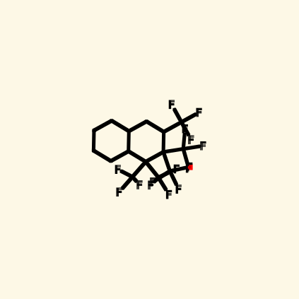 FC(F)(F)C1CC2CCCCC2C(C(F)(F)F)(C(F)(F)F)C1(C(F)(F)F)C(F)(F)F